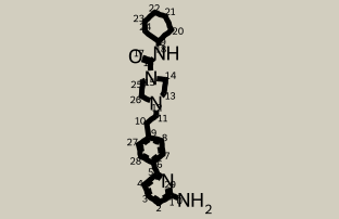 Nc1cccc(-c2ccc(CCN3CCN(C(=O)NC4CCCCC4)CC3)cc2)n1